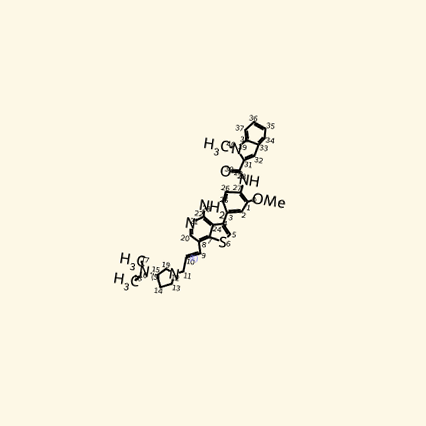 COc1cc(-c2csc3c(/C=C/CN4CC[C@H](N(C)C)C4)cnc(N)c23)ccc1NC(=O)c1cc2ccccc2n1C